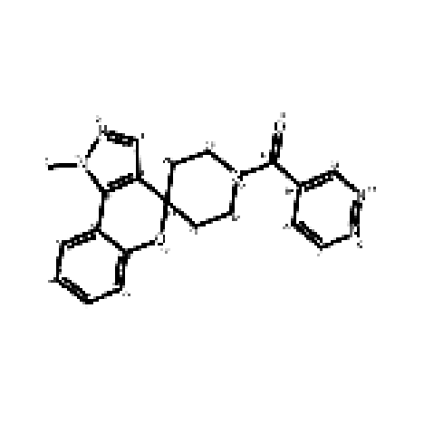 Cn1ncc2c1-c1ccccc1OC21CCN(C(=O)c2ccnnc2)CC1